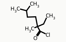 CCC(C)(CCC(C)C)C(=O)Cl